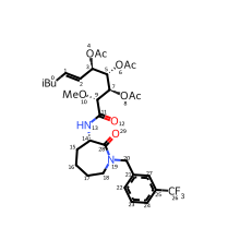 CCC(C)C=C[C@@H](OC(C)=O)[C@H](OC(C)=O)[C@@H](OC(C)=O)[C@@H](OC)C(=O)N[C@H]1CCCCN(Cc2cccc(C(F)(F)F)c2)C1=O